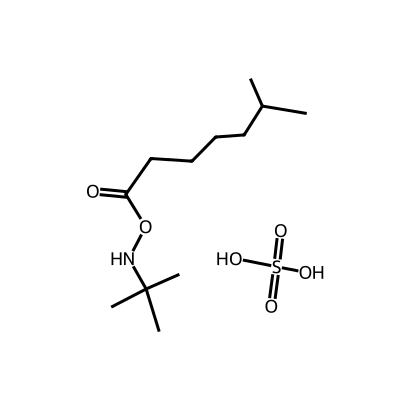 CC(C)CCCCC(=O)ONC(C)(C)C.O=S(=O)(O)O